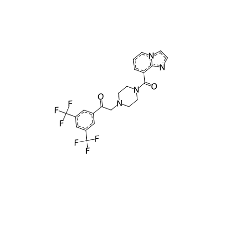 O=C(CN1CCN(C(=O)c2cccn3ccnc23)CC1)c1cc(C(F)(F)F)cc(C(F)(F)F)c1